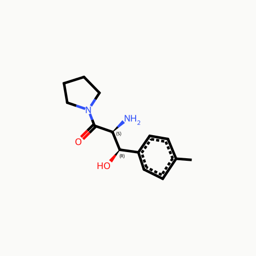 Cc1ccc([C@@H](O)[C@H](N)C(=O)N2CCCC2)cc1